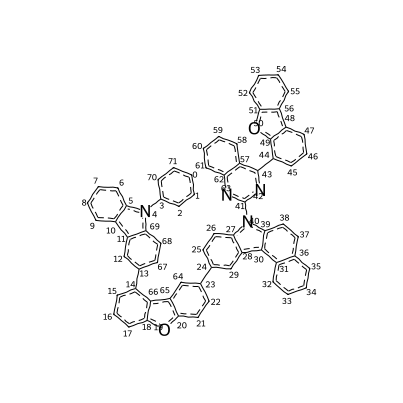 c1ccc(-n2c3ccccc3c3cc(-c4cccc5oc6ccc(-c7ccc8c(c7)c7c9ccccc9ccc7n8-c7nc(-c8cccc9c8oc8ccccc89)c8ccccc8n7)cc6c45)ccc32)cc1